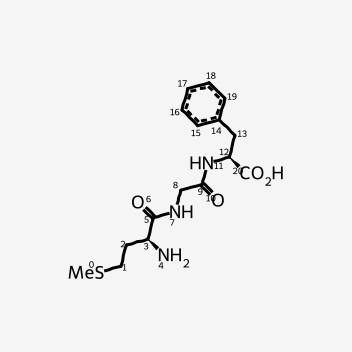 CSCC[C@H](N)C(=O)NCC(=O)N[C@@H](Cc1ccccc1)C(=O)O